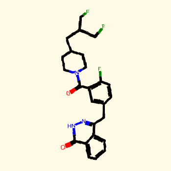 O=C(c1cc(Cc2n[nH]c(=O)c3ccccc23)ccc1F)N1CCC(CC(CF)CF)CC1